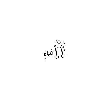 CC(=O)[O-].CC(=O)[O-].O.O.[Rh+2]